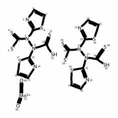 S=C([S-])N(c1nccs1)N(C(=S)S)c1nccs1.S=C([S-])N(c1nccs1)N(C(=S)S)c1nccs1.[O]=[Mo+2]=[O]